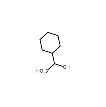 O=S(=O)(O)C(O)C1CCCCC1